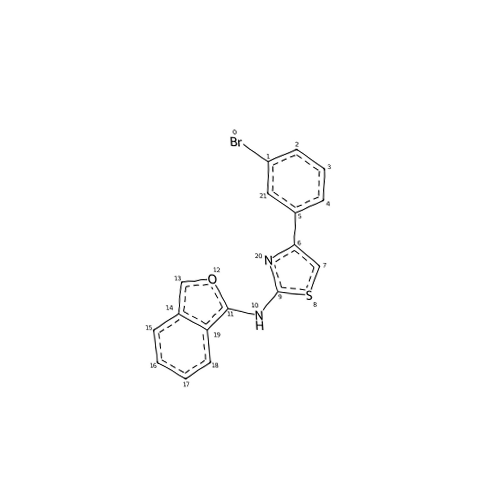 Brc1cccc(-c2csc(Nc3occ4ccccc34)n2)c1